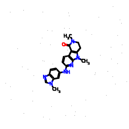 CN1CCc2c(c3ccc(Nc4ccc5ncn(C)c5c4)nc3n2C)C1=O